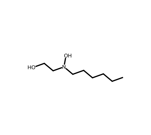 CCCCCCN(O)CCO